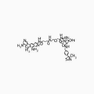 Cc1ncsc1-c1ccc(CNC(=O)[C@@H]2C[C@@H](O)CN2C(=O)[C@@H](NC(=O)COCCNC(=O)CCCC(=O)Nc2cc3cc(-c4cncc(N)c4C)c(F)c(N)c3cn2)C(C)(C)C)cc1